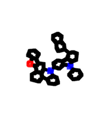 c1ccc(-c2ccccc2N(c2ccc3oc4ccccc4c3c2)c2ccc3c4c(-c5ccc6ccccc6c5)cccc4n(-c4ccccc4)c3c2)cc1